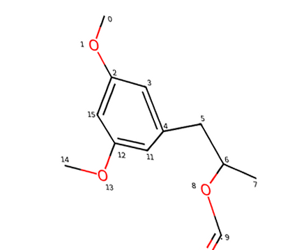 COc1cc(CC(C)O[C]=O)cc(OC)c1